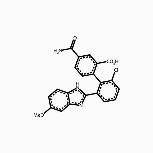 COc1ccc2[nH]c(-c3cccc(Cl)c3-c3ccc(C(N)=O)cc3C(=O)O)nc2c1